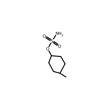 CC1CCC(OS(N)(=O)=O)CC1